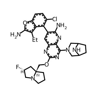 CCc1c(N)oc2ccc(Cl)c(-c3cc4nc(OC[C@@]56CCCN5C[C@H](F)C6)nc(N5CC6CCC(C5)N6)c4nc3N)c12